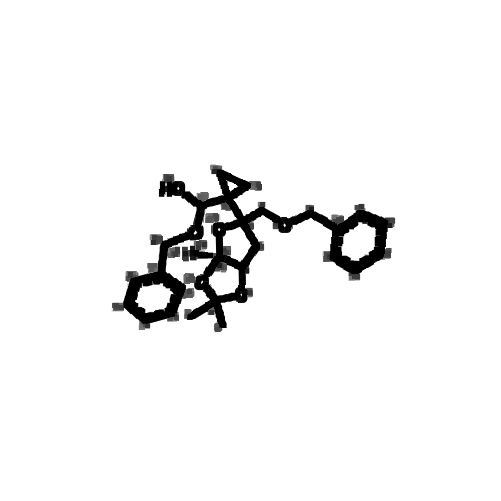 CC1(C)OC2CC(COCc3ccccc3)(C3(C(O)OCc4ccccc4)CC3)O[C@@H]2O1